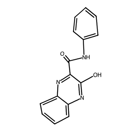 O=C(Nc1ccccc1)c1nc2ccccc2nc1O